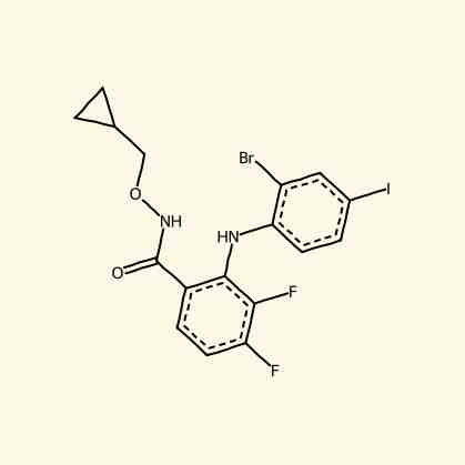 O=C(NOCC1CC1)c1ccc(F)c(F)c1Nc1ccc(I)cc1Br